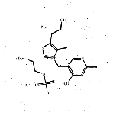 CCCCCCCCCCCCOS(=O)(=O)[O-].Cc1ncc(C[n+]2csc(CCO)c2C)c(N)n1.[Cl-].[Na+]